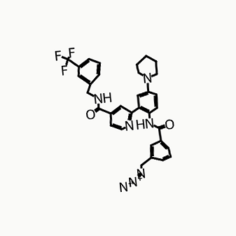 [N-]=[N+]=NCc1cccc(C(=O)Nc2ccc(N3CCCCC3)cc2-c2cc(C(=O)NCc3cccc(C(F)(F)F)c3)ccn2)c1